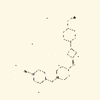 CC(C)(C)CC1CCN([C@H]2C[C@H](OC3CCN(CC4CCN(C(C)(C)C)CC4)CC3)C2)CC1